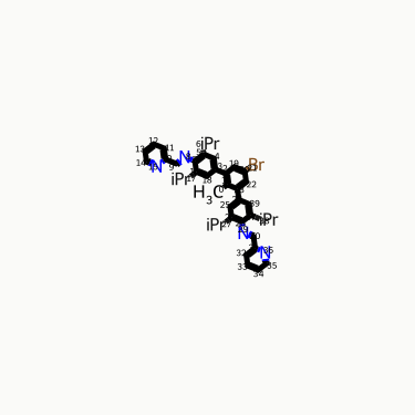 Cc1c(-c2cc(C(C)C)c(N=Cc3ccccn3)c(C(C)C)c2)cc(Br)cc1-c1cc(C(C)C)c(N=Cc2ccccn2)c(C(C)C)c1